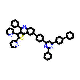 c1ccc(-c2ccc(-c3cc(-c4ccc(-c5ccc6nc(-c7ccccc7)c7c(-c8ccccn8)c(-c8ccccn8)sc7c6c5)cc4)nc(-c4ccccc4)n3)cc2)cc1